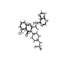 CC(Nc1ncnc2scnc12)c1nc2cccc(Cl)c2c(=O)n1N1CCN(CC(F)F)CC1